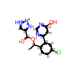 CC(OC(=O)c1c[nH]nn1)c1ccc(Cl)cc1-c1cc(O)ncn1